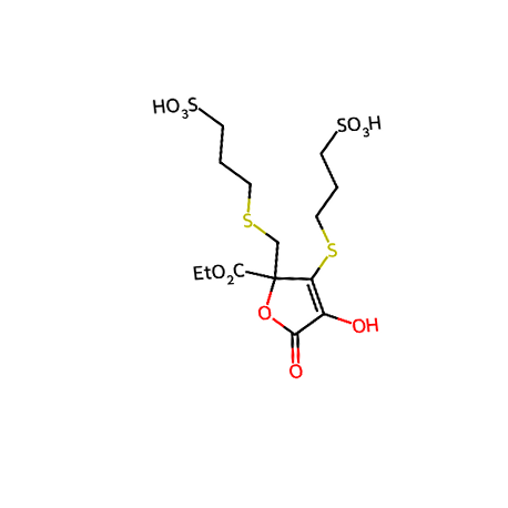 CCOC(=O)C1(CSCCCS(=O)(=O)O)OC(=O)C(O)=C1SCCCS(=O)(=O)O